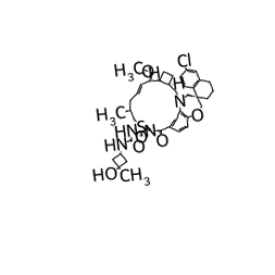 CO[C@H]1/C=C/C[C@H](C)C[S@@](=O)(NC(=O)N[C@H]2C[C@@](C)(O)C2)=NC(=O)c2ccc3c(c2)N(C[C@@H]2CC[C@H]21)C[C@@]1(CCCc2cc(Cl)ccc21)CO3